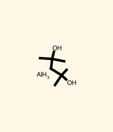 CC(C)(O)[CH]C(C)(C)O.[AlH3]